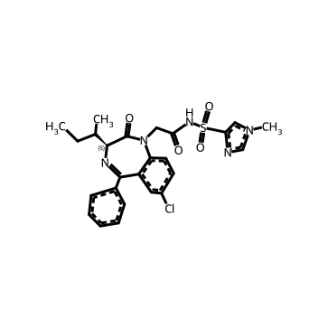 CCC(C)[C@@H]1N=C(c2ccccc2)c2cc(Cl)ccc2N(CC(=O)NS(=O)(=O)c2cn(C)cn2)C1=O